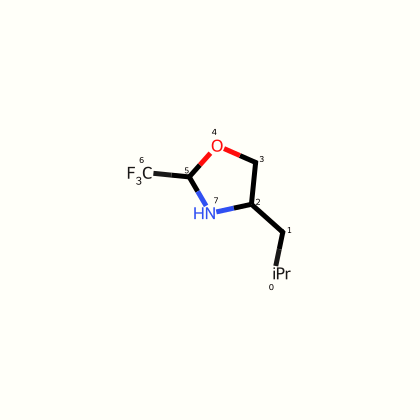 CC(C)CC1COC(C(F)(F)F)N1